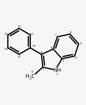 Cc1[nH]c2ccccc2c1-c1cc[c]cc1